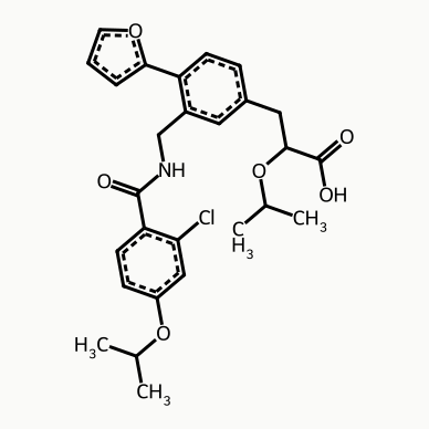 CC(C)Oc1ccc(C(=O)NCc2cc(CC(OC(C)C)C(=O)O)ccc2-c2ccco2)c(Cl)c1